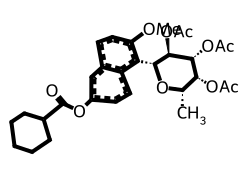 COc1ccc2cc(OC(=O)C3CCCCC3)ccc2c1[C@H]1O[C@@H](C)[C@@H](OC(C)=O)[C@@H](OC(C)=O)[C@@H]1OC(C)=O